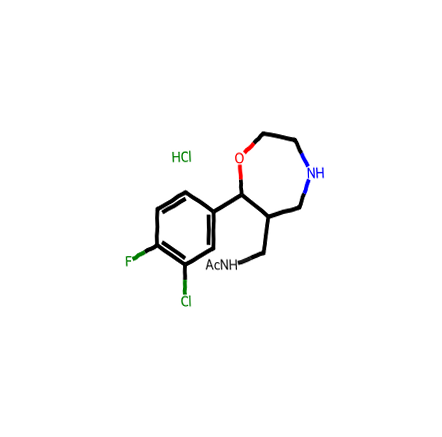 CC(=O)NCC1CNCCOC1c1ccc(F)c(Cl)c1.Cl